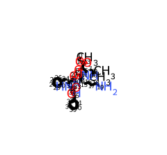 COC(=O)C(=O)[C@H](CC(C)C)NC(=O)[C@H](CCCCN)NC(=O)[C@H](Cc1ccccc1)NC(=O)OCc1ccccc1